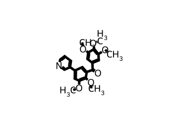 COc1cc(C(=O)c2cc(-c3cccnc3)cc(OC)c2OC)cc(OC)c1OC